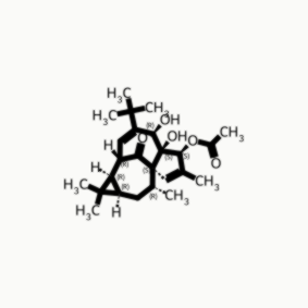 CC(=O)O[C@H]1C(C)=C[C@]23C(=O)[C@@H](C=C(C(C)(C)C)[C@@H](O)[C@]12O)[C@H]1[C@@H](C[C@H]3C)C1(C)C